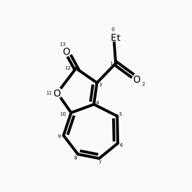 CCC(=O)c1c2cccccc-2oc1=O